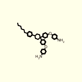 CCCCCCc1ccc(C2CCC(c3ccc(Oc4ccc(N)cc4)cc3)(c3ccc(Oc4ccc(N)cc4)cc3)CC2)cc1